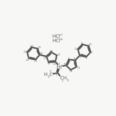 C[C](C)=[Hf]([C]1=CC(c2ccccc2)=CC1)[C]1=CC(c2ccccc2)=CC1.Cl.Cl